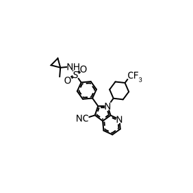 CC1(NS(=O)(=O)c2ccc(-c3c(C#N)c4cccnc4n3C3CCC(C(F)(F)F)CC3)cc2)CC1